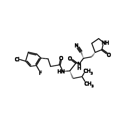 CC(C)C[C@H](NC(=O)CCc1ccc(Cl)cc1F)C(=O)N[C@H](C#N)C[C@@H]1CCNC1=O